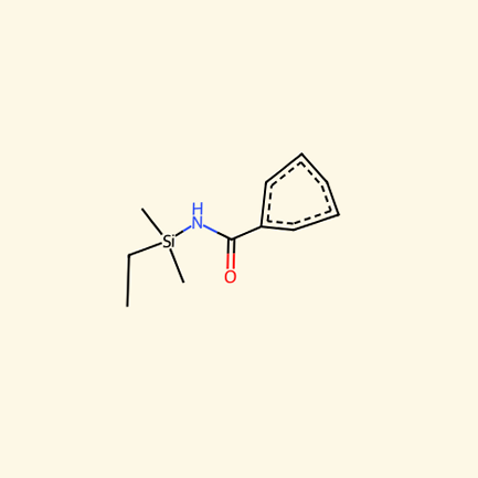 CC[Si](C)(C)NC(=O)c1ccccc1